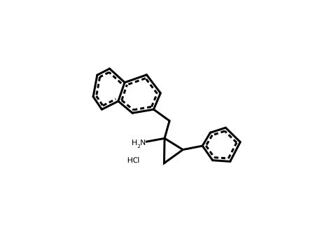 Cl.NC1(Cc2ccc3ccccc3c2)CC1c1ccccc1